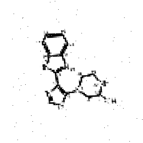 C[C@H]1CN(c2scnc2-c2nc3ccccc3[nH]2)CCN1